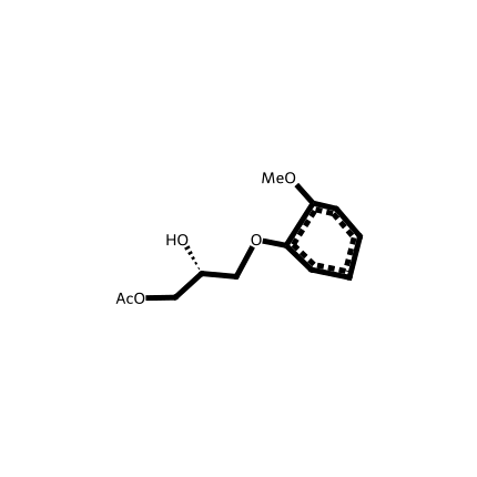 COc1ccccc1OC[C@@H](O)COC(C)=O